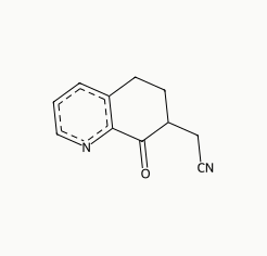 N#CCC1CCc2cccnc2C1=O